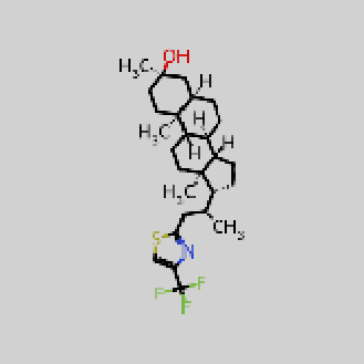 C[C@@H](Cc1nc(C(F)(F)F)cs1)[C@H]1CC[C@H]2[C@@H]3CC[C@@H]4C[C@](C)(O)CC[C@]4(C)[C@H]3CC[C@]12C